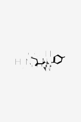 Cc1ccc(-n2nnc(C(=O)CC(N)C(=O)O)n2)cc1